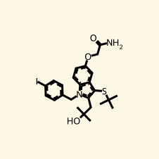 CC(C)(O)Cc1c(SC(C)(C)C)c2cc(OCC(N)=O)ccc2n1Cc1ccc(I)cc1